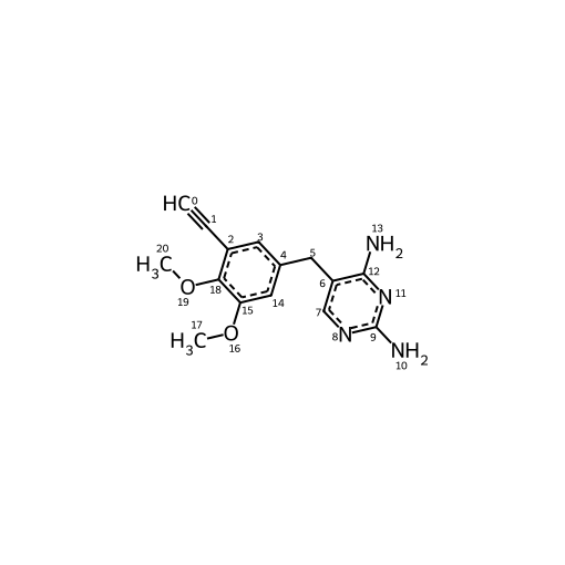 C#Cc1cc(Cc2cnc(N)nc2N)cc(OC)c1OC